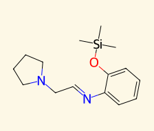 C[Si](C)(C)Oc1ccccc1N=CCN1CCCC1